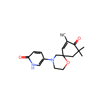 CC1(C)CC2(C=C(C#N)C1=O)CN(c1ccc(=O)[nH]c1)CCO2